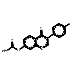 CCCC(=O)Oc1ccc2c(=O)c(-c3ccc(F)cc3)coc2c1